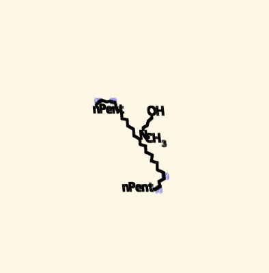 CCCCC/C=C\C/C=C\CCCCCCCC(CCCCCCC/C=C\C/C=C\CCCCC)N(C)CCCCO